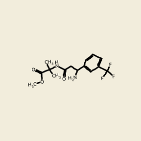 COC(=O)C(C)(C)NC(=O)CC(N)c1cccc(C(F)(F)F)c1